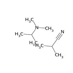 CC(C)C#N.CC(C)N(C)C